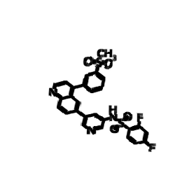 CS(=O)(=O)c1cccc(-c2ccnc3ccc(-c4cncc(NS(=O)(=O)c5ccc(F)cc5F)c4)cc23)c1